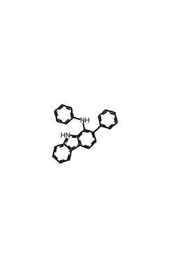 c1ccc(Nc2c(-c3ccccc3)ccc3c2[nH]c2ccccc23)cc1